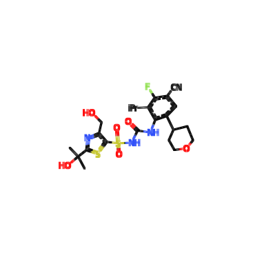 CC(C)c1c(F)c(C#N)cc(C2CCOCC2)c1NC(=O)NS(=O)(=O)c1sc(C(C)(C)O)nc1CO